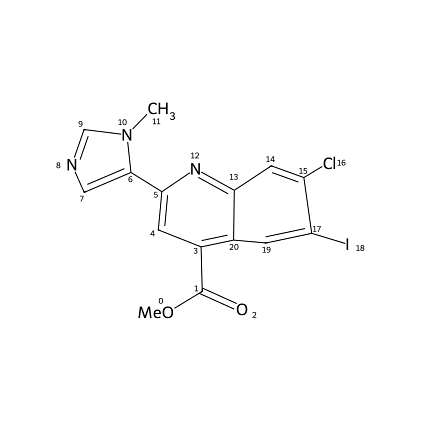 COC(=O)c1cc(-c2cncn2C)nc2cc(Cl)c(I)cc12